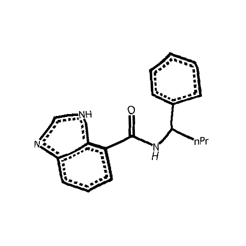 CCCC(NC(=O)c1cccc2nc[nH]c12)c1ccccc1